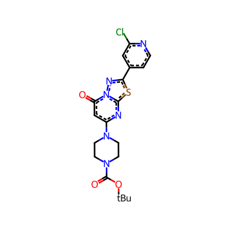 CC(C)(C)OC(=O)N1CCN(c2cc(=O)n3nc(-c4ccnc(Cl)c4)sc3n2)CC1